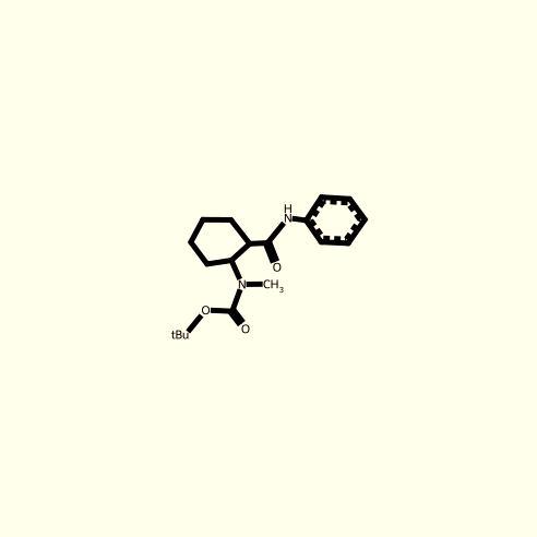 CN(C(=O)OC(C)(C)C)C1CCCCC1C(=O)Nc1ccccc1